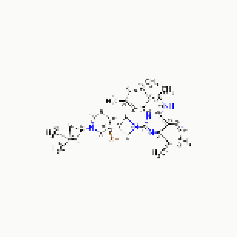 C=Cc1nc(N2CC([C@@]3(S)CCCN(C4CC(C)(C)C4)C3)C2)nc(N[C@H](C)C2CC=C(C)C=C2C)c1/C=C\C